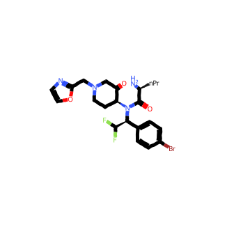 CCC[C@H](N)C(=O)N([C@H]1CCN(Cc2ncco2)CC1=O)[C@@H](c1ccc(Br)cc1)C(F)F